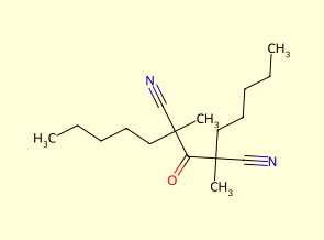 CCCCCC(C)(C#N)C(=O)C(C)(C#N)CCCCC